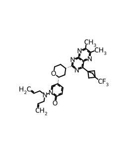 C=CCN(CC=C)n1cc([C@H]2C[C@@H](c3nc(C45CC(C(F)(F)F)(C4)C5)c4nc(C)c(C)nc4n3)CCO2)ccc1=O